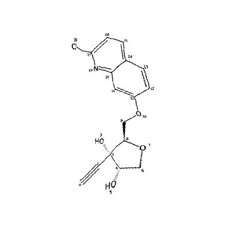 C#C[C@]1(O)[C@@H](O)CO[C@@H]1COc1ccc2ccc(Cl)nc2c1